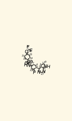 Cc1cc2c(-c3ccc(NS(=O)(=O)c4ccc(OC(F)F)cc4)cc3F)ncnc2[nH]1